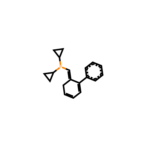 C1=CCC(=CP(C2CC2)C2CC2)C(c2ccccc2)=C1